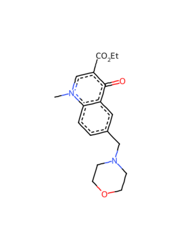 CCOC(=O)c1cn(C)c2ccc(CN3CCOCC3)cc2c1=O